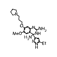 CCc1cc(C2(N)NC(N)=Nc3cc(OCCCN4CCCC4)c(OC)cc32)n[nH]1